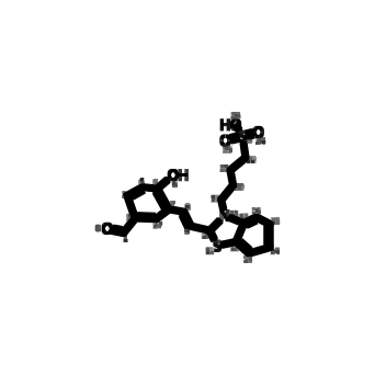 O=Cc1ccc(O)c(/C=C/C2Sc3ccccc3N2CCCCS(=O)(=O)O)c1